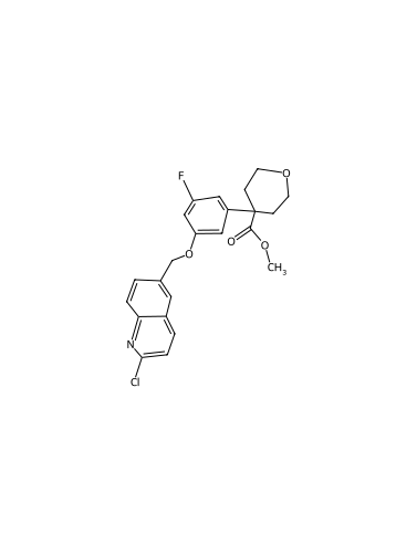 COC(=O)C1(c2cc(F)cc(OCc3ccc4nc(Cl)ccc4c3)c2)CCOCC1